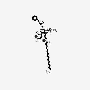 CCCCCCCCCCCCCCCC(=O)NCCCC1[C@@H](OP(O)(=S)OC)[C@@H](COC(=O)OCc2ccccc2)O[C@H]1n1ccc(=O)[nH]c1=O